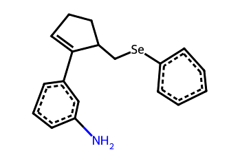 Nc1cccc(C2=CCCC2C[Se]c2ccccc2)c1